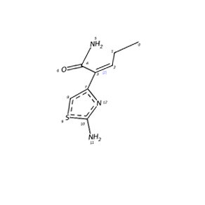 CC/C=C(\C(N)=O)c1csc(N)n1